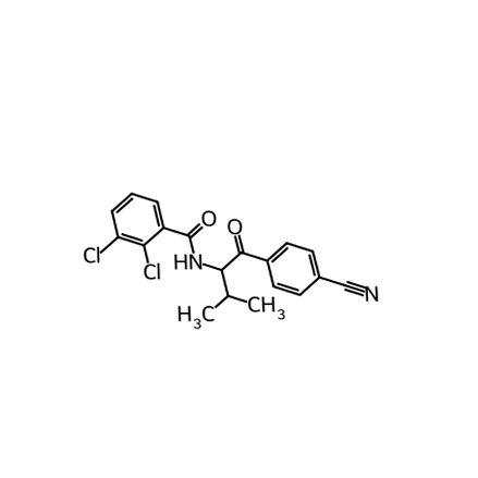 CC(C)C(NC(=O)c1cccc(Cl)c1Cl)C(=O)c1ccc(C#N)cc1